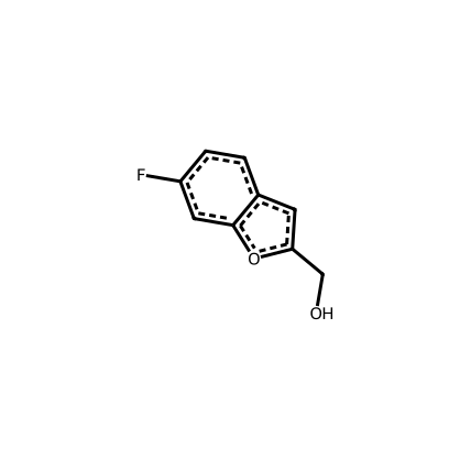 OCc1cc2ccc(F)cc2o1